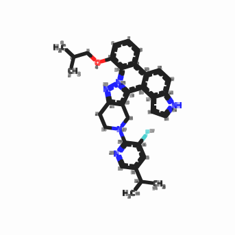 CC(C)COc1cccc2c3ccc4[nH]ccc4c3c3c4c(nn3c12)CCN(c1ncc(C(C)C)cc1F)C4